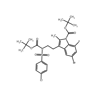 Cc1c(CCN(C(=O)OC(C)(C)C)S(=O)(=O)c2ccc(Cl)cc2)c2cc(Br)cc(F)c2n1C(=O)OC(C)(C)C